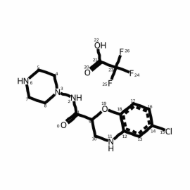 O=C(NN1CCNCC1)C1CNc2cc(Cl)ccc2O1.O=C(O)C(F)(F)F